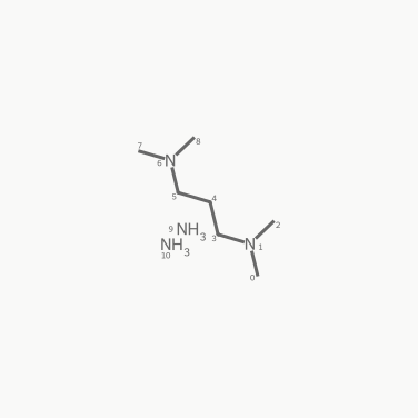 CN(C)CCCN(C)C.N.N